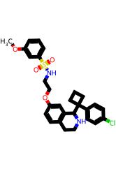 COc1cccc(S(=O)(=O)NCCOc2ccc3c(c2)C(C2(c4ccc(Cl)cc4)CCC2)NCC3)c1